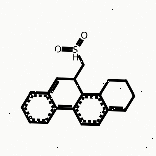 O=[SH](=O)CC1C=c2ccccc2=c2ccc3c(c21)CCCC=3